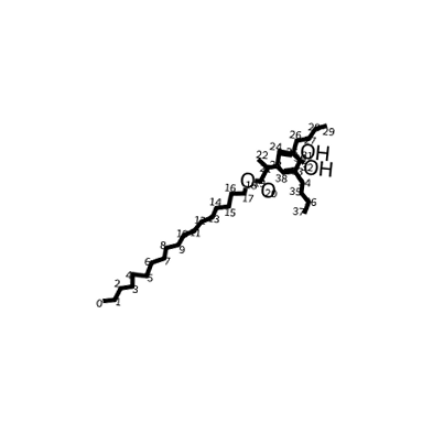 CCCCCCCCCCCCCCCCCCOC(=O)C(C)C1C=C(CCCC)C(O)(O)C(CCCC)=C1